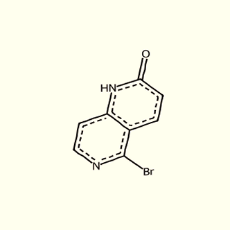 O=c1ccc2c(Br)nccc2[nH]1